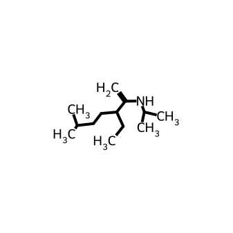 C=C(NC(C)C)C(CC)CCC(C)C